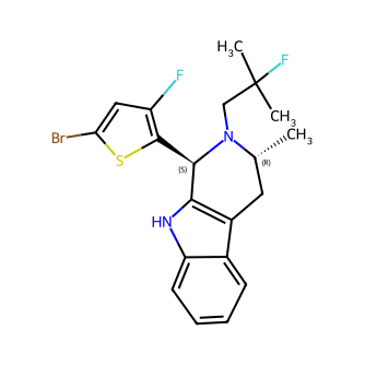 C[C@@H]1Cc2c([nH]c3ccccc23)[C@@H](c2sc(Br)cc2F)N1CC(C)(C)F